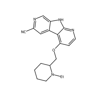 CCN1CCCCC1COc1ccnc2[nH]c3cnc(C#N)cc3c12